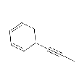 CC#C[C]1C=CC=CC1